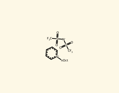 CCCCCCCC[n+]1ccccc1.O=S(=O)([N-]S(=O)(=O)C(F)(F)F)C(F)(F)F